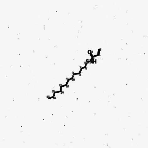 C=CC(=O)NSCCCCCCCCCCCC